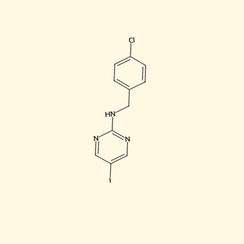 Clc1ccc(CNc2ncc(I)cn2)cc1